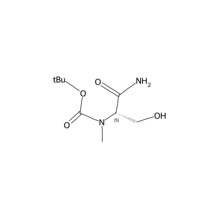 CN(C(=O)OC(C)(C)C)[C@@H](CO)C(N)=O